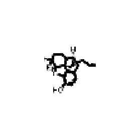 C=CCN1CC[C@@]23c4c5ccc(O)c4O[C@@H]2C(F)(F)CCC3[C@@H]1C5